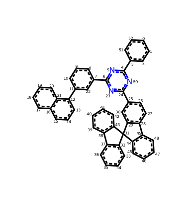 c1ccc(-c2nc(-c3cccc(-c4cccc5ccccc45)c3)nc(-c3ccc4c(c3)C3(c5ccccc5-c5ccccc53)c3ccccc3-4)n2)cc1